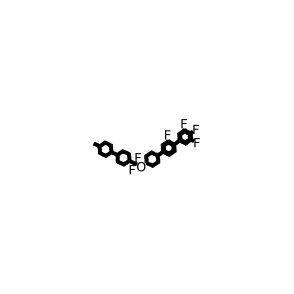 CC1CCC(C2CCC(C(F)(F)OC3CCC(c4ccc(-c5cc(F)c(F)c(F)c5)c(F)c4)CC3)CC2)CC1